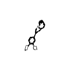 Clc1ccc(-c2cc3ccccn3c2)cc1Cl